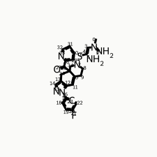 CN(N)/C=C(\N)SN1CCC2=Cc3c(cnn3-c3ccc(F)cc3)CC2(C(=O)c2ccccn2)C1